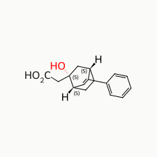 O=C(O)C[C@@]1(O)C[C@@H]2CC[C@H]1C=C2c1ccccc1